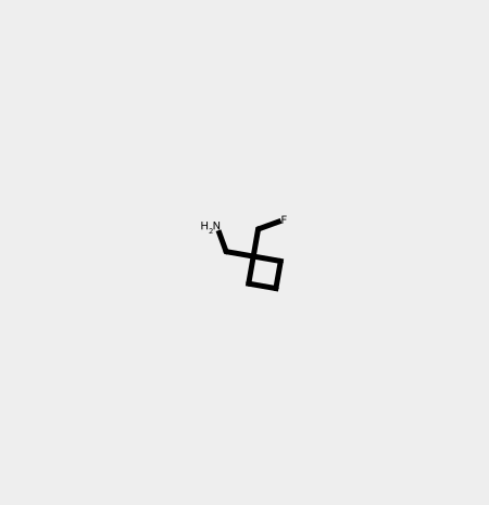 NCC1(CF)CCC1